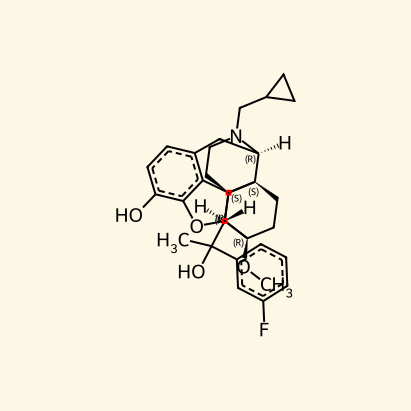 CO[C@]12CC[C@@]3(C[C@@H]1C(C)(O)c1cccc(F)c1)[C@H]1Cc4ccc(O)c5c4[C@@]3(CCN1CC1CC1)[C@H]2O5